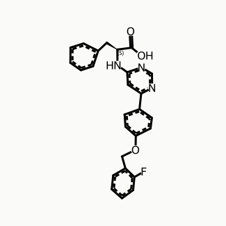 O=C(O)[C@H](Cc1ccccc1)Nc1cc(-c2ccc(OCc3ccccc3F)cc2)ncn1